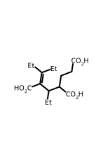 CCC(CC)=C(C(=O)O)C(CC)C(CCC(=O)O)C(=O)O